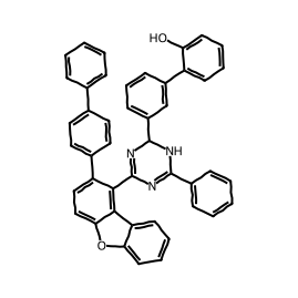 Oc1ccccc1-c1cccc(C2N=C(c3c(-c4ccc(-c5ccccc5)cc4)ccc4oc5ccccc5c34)N=C(c3ccccc3)N2)c1